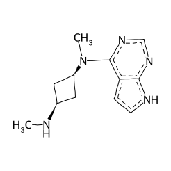 CN[C@H]1C[C@@H](N(C)c2ncnc3[nH]ccc23)C1